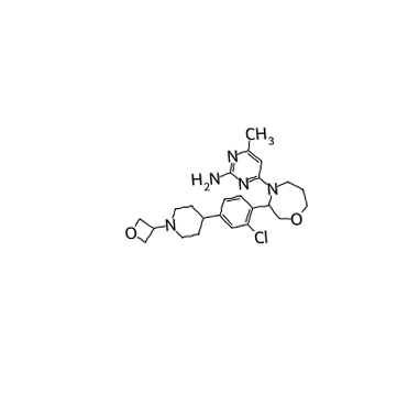 Cc1cc(N2CCCOCC2c2ccc(C3CCN(C4COC4)CC3)cc2Cl)nc(N)n1